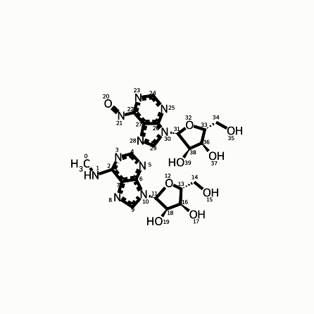 CNc1ncnc2c1ncn2[C@@H]1O[C@H](CO)[C@@H](O)[C@H]1O.O=Nc1ncnc2c1ncn2[C@@H]1O[C@H](CO)[C@@H](O)[C@H]1O